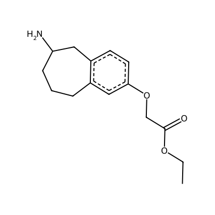 CCOC(=O)COc1ccc2c(c1)CCCC(N)C2